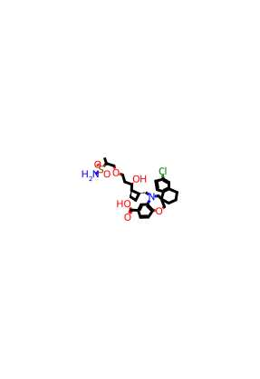 CC(COCC[C@H](O)[C@@H]1CC[C@H]1CN1CC2(CCCc3cc(Cl)ccc32)COc2ccc(C(=O)O)cc21)S(N)(=O)=O